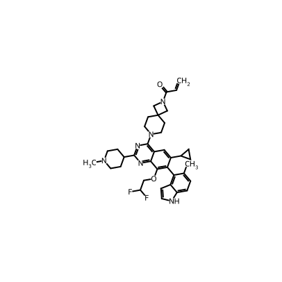 C=CC(=O)N1CC2(CCN(c3nc(C4CCN(C)CC4)nc4c(OCC(F)F)c(-c5c(C)ccc6[nH]ccc56)c(C5CC5)cc34)CC2)C1